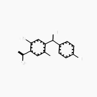 CC(c1ccc(Cl)cc1)c1cc(N)c(C(N)=O)cc1F